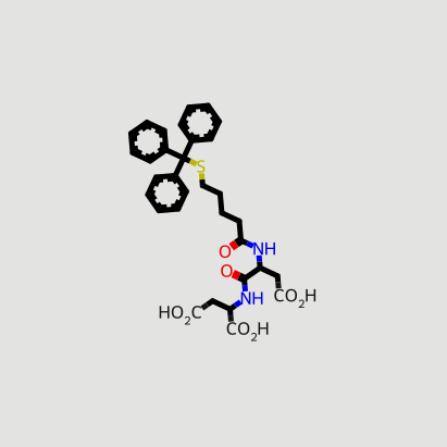 O=C(O)CC(NC(=O)C(CC(=O)O)NC(=O)CCCCSC(c1ccccc1)(c1ccccc1)c1ccccc1)C(=O)O